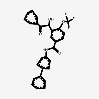 O=C(Nc1ccc(-c2ccccc2)cc1)c1ccc(OC(F)(F)F)c(C(O)C(=O)c2ccccc2)c1